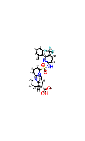 Cc1ccccc1-c1nc(NS(=O)(=O)c2cccc(N3CCC[C@@H]4[C@@H](C(=O)O)C[C@@H]43)n2)ccc1C(F)(F)F